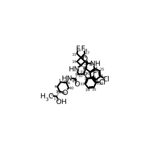 CC(O)[C@@H]1CC[C@@H](NC(=O)[C@@H]2NC3(CC(CF)(CF)C3)[C@@]3(C(=O)Nc4cc(Cl)ccc43)[C@H]2c2cccc(Cl)c2F)CO1